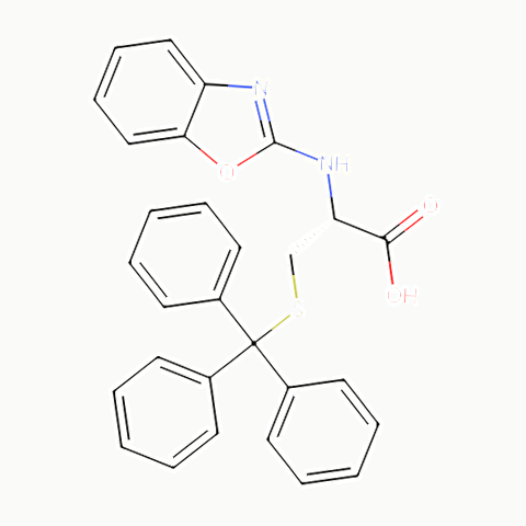 O=C(O)[C@H](CSC(c1ccccc1)(c1ccccc1)c1ccccc1)Nc1nc2ccccc2o1